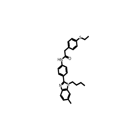 CCCCn1c(-c2ccc(NC(=O)Cc3ccc(SCC)cc3)cc2)nc2ccc(C)cc21